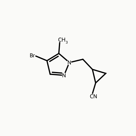 Cc1c(Br)cnn1CC1CC1C#N